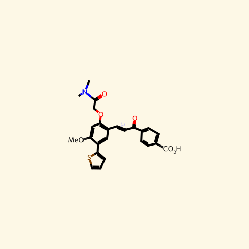 COc1cc(OCC(=O)N(C)C)c(/C=C/C(=O)c2ccc(C(=O)O)cc2)cc1-c1cccs1